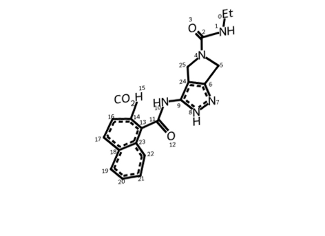 CCNC(=O)N1Cc2n[nH]c(NC(=O)c3c(C(=O)O)ccc4ccccc34)c2C1